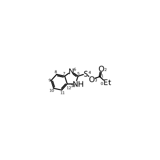 CCC(=O)OSc1nc2ccccc2[nH]1